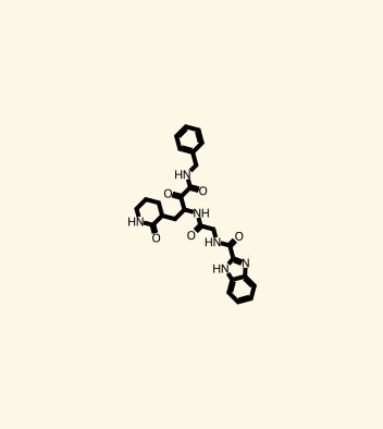 O=C(CNC(=O)c1nc2ccccc2[nH]1)NC(CC1CCCNC1=O)C(=O)C(=O)NCc1ccccc1